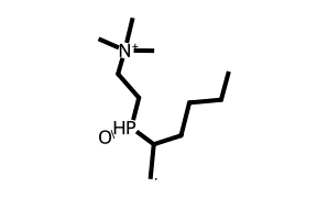 [CH2]C(CCCC)[PH](=O)CC[N+](C)(C)C